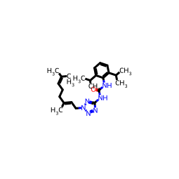 CC(C)=CCC/C(C)=C/Cn1nnc(NC(=O)Nc2c(C(C)C)cccc2C(C)C)n1